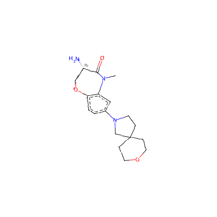 CN1C(=O)[C@@H](N)COc2ccc(N3CCC4(CCOCC4)C3)cc21